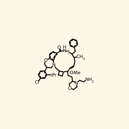 CCCc1cc(Cl)ccc1C1COc2ccc3cc2N(C1)CC1CCC1[C@@](CCC1COCCN1CCN)(OC)/C=C/CC(C)C(Cc1ccccc1)SNC3=O